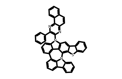 c1ccc(-c2nc3c(ccc4ccccc43)nc2-n2c3cccc4c5cccc6c7ccccc7n(c56)c5c6sc7ccccc7c6cc2c5c43)cc1